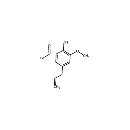 C=CCc1ccc(O)c(OC)c1.O=[CH][Fe]